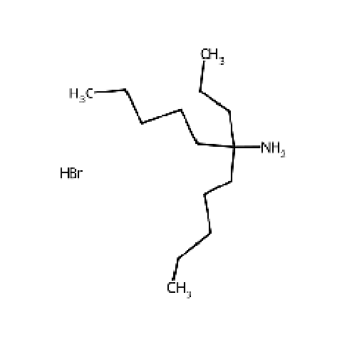 Br.CCCCCC(N)(CCC)CCCCC